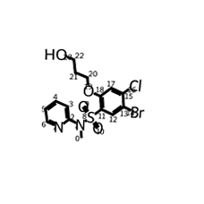 CN(c1ccccn1)S(=O)(=O)c1cc(Br)c(Cl)cc1OCCCO